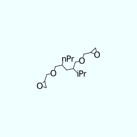 CCCC(COCC1CO1)CC(COCC1CO1)C(C)C